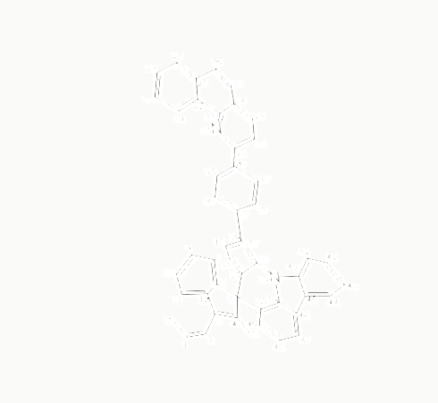 C/C=C\C1=C(C)C2(c3ccccc31)c1ccc(-c3ccc(-c4ccc5ccc6ccccc6c5n4)cc3)cc1-n1c3ccccc3c3cccc2c31